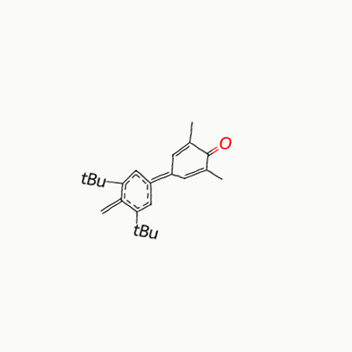 C=c1c(C(C)(C)C)cc(=C2C=C(C)C(=O)C(C)=C2)cc1C(C)(C)C